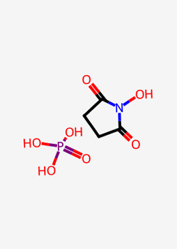 O=C1CCC(=O)N1O.O=P(O)(O)O